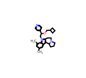 Cc1cc(C)c2c(c1)c1c(n2CC(OCC2CCC2)c2ccncc2)CCN2CCCC12